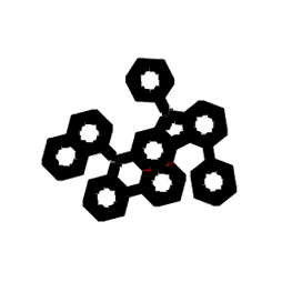 c1ccc(-c2ccccc2N(c2ccc3c4c(-c5ccccc5)cccc4n(-c4ccccc4)c3c2)c2cccc3ccccc23)cc1